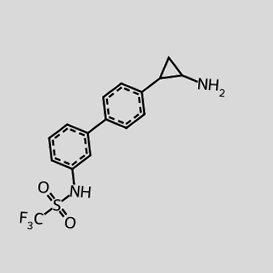 NC1CC1c1ccc(-c2cccc(NS(=O)(=O)C(F)(F)F)c2)cc1